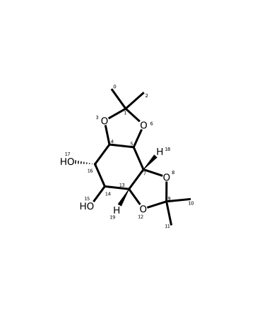 CC1(C)OC2C(O1)[C@@H]1OC(C)(C)O[C@@H]1C(O)[C@@H]2O